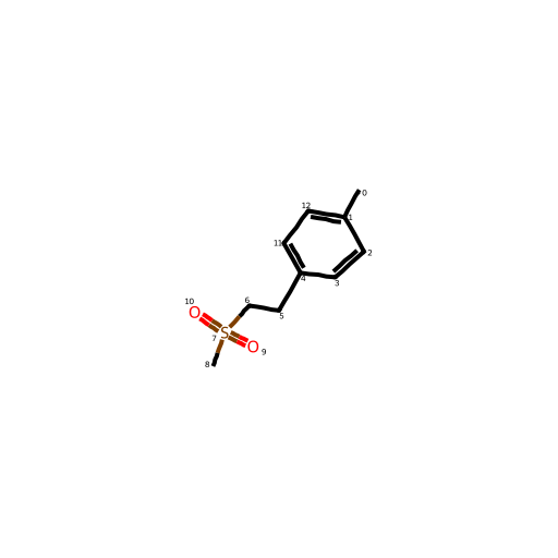 [CH2]c1ccc(CCS(C)(=O)=O)cc1